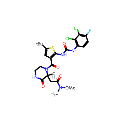 CON(C)C(=O)CC1(C)C(=O)NCCN1C(=O)c1cc(C(C)(C)C)sc1NC(=O)Nc1ccc(F)c(Cl)c1Cl